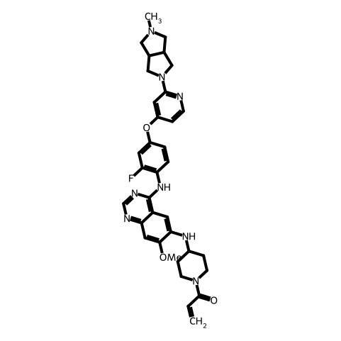 C=CC(=O)N1CCC(Nc2cc3c(Nc4ccc(Oc5ccnc(N6CC7CN(C)CC7C6)c5)cc4F)ncnc3cc2OC)CC1